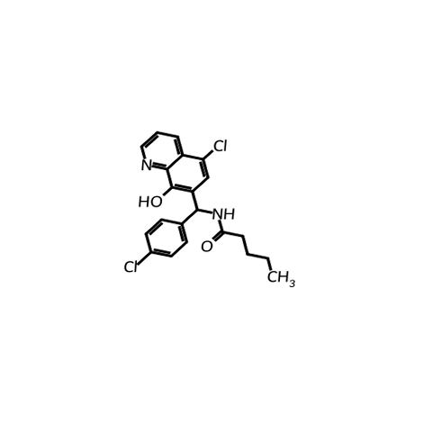 CCCCC(=O)NC(c1ccc(Cl)cc1)c1cc(Cl)c2cccnc2c1O